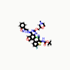 CN1CCO[C@@H](COc2nc(NCc3noc4c3CCCC4)c3c4c(c(-c5ccc(F)c6sc(NC(=O)OC(C)(C)C)c(C#N)c56)c(Cl)c3n2)COC4)C1